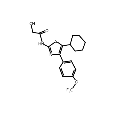 N#CCC(=O)Nc1nc(-c2ccc(OC(F)(F)F)cc2)c(C2CCCCC2)s1